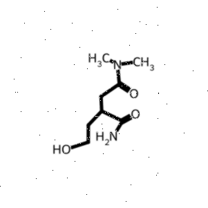 CN(C)C(=O)CC(CCO)C(N)=O